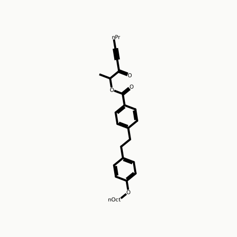 CCCC#CC(=O)C(C)OC(=O)c1ccc(CCc2ccc(OCCCCCCCC)cc2)cc1